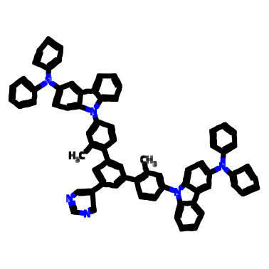 Cc1cc(-n2c3ccccc3c3cc(N(c4ccccc4)c4ccccc4)ccc32)ccc1-c1cc(-c2cncnc2)cc(-c2ccc(-n3c4ccccc4c4cc(N(c5ccccc5)c5ccccc5)ccc43)cc2C)c1